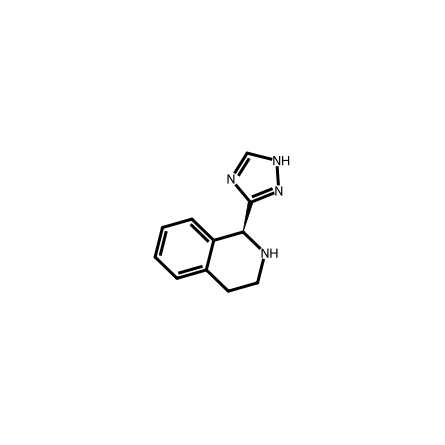 c1ccc2c(c1)CCN[C@@H]2c1nc[nH]n1